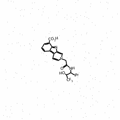 CC(C)C(NC(=O)Cn1ccc2c3cccc(C(=O)O)c3nc-2c1)C(O)C(F)(F)F